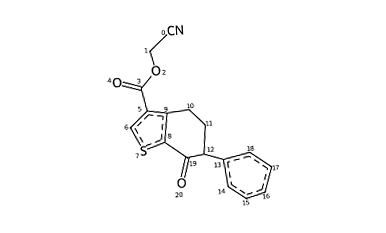 N#CCOC(=O)c1csc2c1CCC(c1ccccc1)C2=O